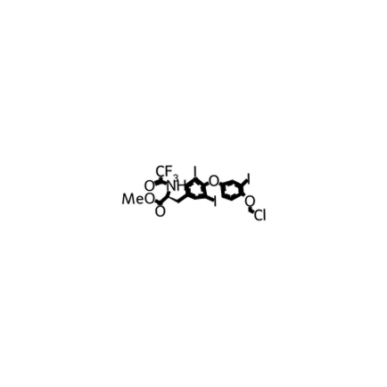 COC(=O)[C@H](Cc1cc(I)c(Oc2ccc(OCCl)c(I)c2)c(I)c1)NC(=O)C(F)(F)F